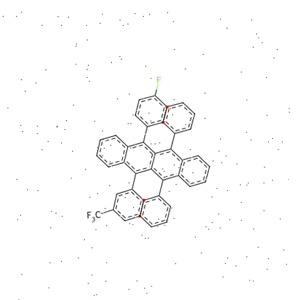 Fc1ccc(-c2c3ccccc3c(-c3cccc(C(F)(F)F)c3)c3c(-c4ccccc4)c4ccccc4c(-c4ccccc4)c23)cc1